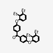 CCc1cccc(Oc2ccc(C(=O)c3ccc(Oc4cccc(CC)c4CC)cc3)cc2)c1CC